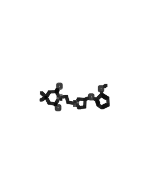 COc1ccccc1OC1CCN(CCN2C(=O)CC(C)(C)CC2=O)C1